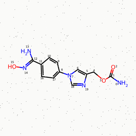 NC(=O)OCc1cn(-c2ccc(C(N)=NO)cc2)cn1